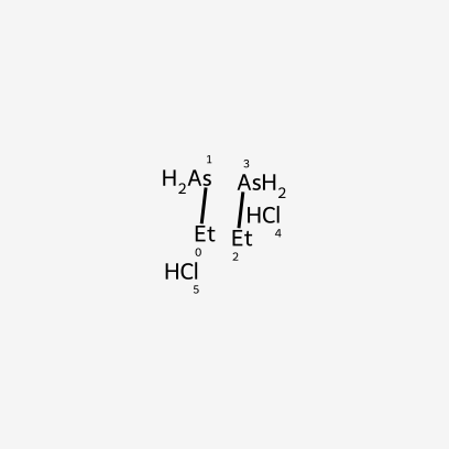 CC[AsH2].CC[AsH2].Cl.Cl